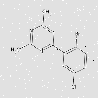 Cc1cc(-c2cc(Cl)ccc2Br)nc(C)n1